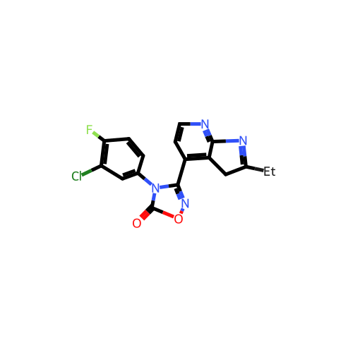 CCC1=Nc2nccc(-c3noc(=O)n3-c3ccc(F)c(Cl)c3)c2C1